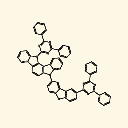 c1ccc(-c2nc(-c3ccccc3)nc(-c3ccc4oc5ccc(-n6c7ccccc7c7c6ccc6c8ccccc8n(-c8nc(-c9ccccc9)nc(-c9ccccc9)n8)c67)cc5c4c3)n2)cc1